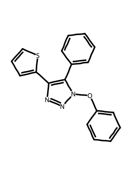 c1ccc(On2nnc(-c3cccs3)c2-c2ccccc2)cc1